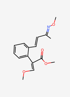 CO/C=C(/C(=O)OC)c1ccccc1C=C/C(C)=N/OC